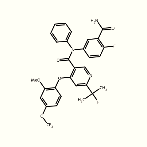 COc1cc(OC(F)(F)F)ccc1Oc1cc(C(C)(C)F)ncc1C(=O)N(c1ccccc1)c1ccc(F)c(C(N)=O)c1